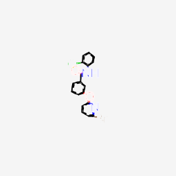 O=C(Nc1ccccc1Cl)c1cccc(Oc2cccc(Br)n2)c1